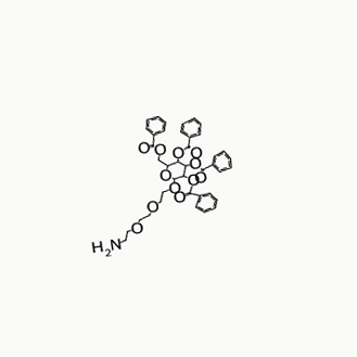 NCCOCCOCCO[C@H]1OC(COC(=O)c2ccccc2)[C@@H](OC(=O)c2ccccc2)C(OC(=O)c2ccccc2)C1OC(=O)c1ccccc1